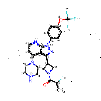 C=C(F)C(=O)N1CC(c2nn(-c3ccc(OC(F)(F)F)cc3)c3nccc(N4CCNCC4)c23)C1